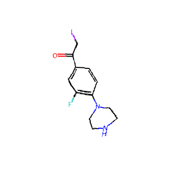 O=C(CI)c1ccc(N2CCNCC2)c(F)c1